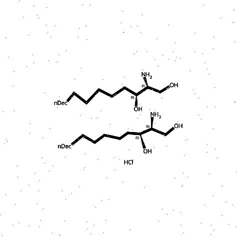 CCCCCCCCCCCCCCC[C@H](O)[C@@H](N)CO.CCCCCCCCCCCCCCC[C@H](O)[C@@H](N)CO.Cl